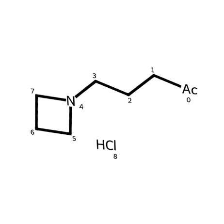 CC(=O)CCCN1CCC1.Cl